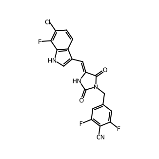 N#Cc1c(F)cc(CN2C(=O)NC(=Cc3c[nH]c4c(F)c(Cl)ccc34)C2=O)cc1F